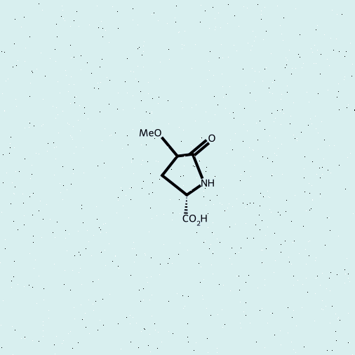 COC1C[C@@H](C(=O)O)NC1=O